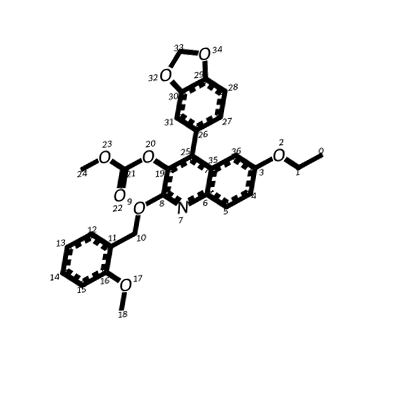 CCOc1ccc2nc(OCc3ccccc3OC)c(OC(=O)OC)c(-c3ccc4c(c3)OCO4)c2c1